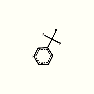 FC(F)(F)c1c[c]cnc1